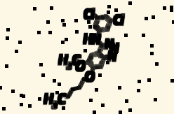 CCCCCOc1cc2nnnc(Nc3cc(Cl)cc(Cl)c3)c2cc1OC